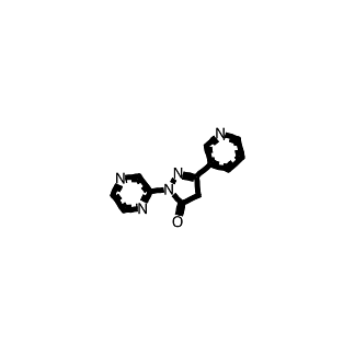 O=C1CC(c2cccnc2)=NN1c1cnccn1